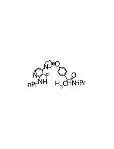 CCCNc1nccc(N2CC[C@@H](Oc3ccc(C(C)C(=O)NC(C)C)cc3)C2)c1F